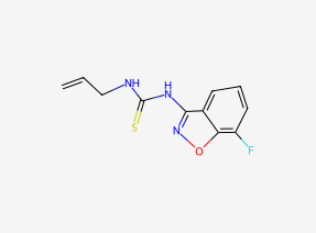 C=CCNC(=S)Nc1noc2c(F)cccc12